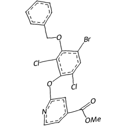 COC(=O)c1ccnc(Oc2c(Cl)cc(Br)c(OCc3ccccc3)c2Cl)c1